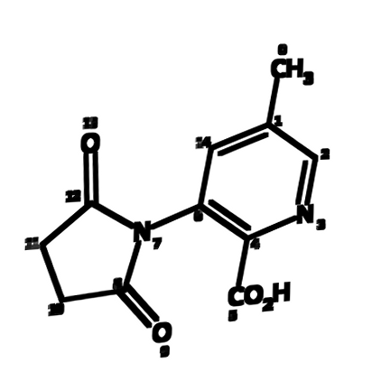 Cc1cnc(C(=O)O)c(N2C(=O)CCC2=O)c1